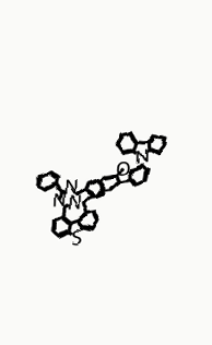 c1ccc(-c2nc(-c3ccccc3)nc(-c3cccc4sc5cccc(CCCc6ccc7oc8c(-n9c%10ccccc%10c%10ccccc%109)cccc8c7c6)c5c34)n2)cc1